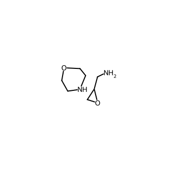 C1COCCN1.NCC1CO1